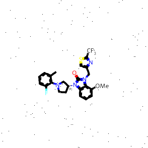 COc1cccc2c1n(Cc1csc(C(F)(F)F)n1)c(=O)n2[C@@H]1CCN(c2c(C)cccc2F)C1